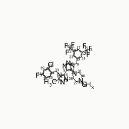 Cc1nnc(-c2nnn(Cc3cc(C(F)(F)F)cc(C(F)(F)F)c3)c2N2CCN(C)CC2)n1Cc1ccc(F)cc1Cl